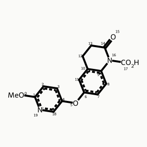 COc1ccc(Oc2ccc3c(c2)CCC(=O)N3C(=O)O)cn1